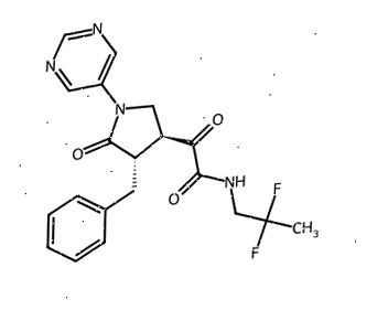 CC(F)(F)CNC(=O)C(=O)[C@@H]1CN(c2cncnc2)C(=O)[C@H]1Cc1ccccc1